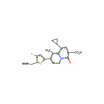 CNCc1sc(-c2ccn3c(=O)c(C(=O)O)cc(C4CC4)c3c2C)cc1F